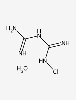 N=C(N)NC(=N)NCl.O